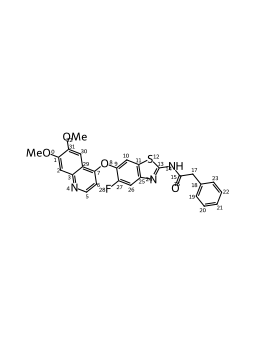 COc1cc2nccc(Oc3cc4sc(NC(=O)Cc5ccccc5)nc4cc3F)c2cc1OC